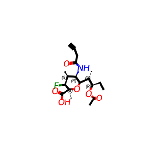 C#CCC(=O)N[C@H]1C([C@H](C)[C@@H](CC)OC(C)=O)O[C@@](C)(C(=O)O)C(F)[C@H]1C